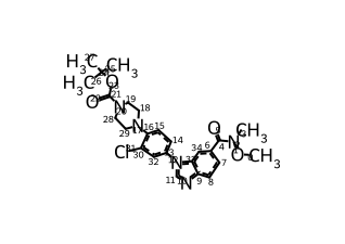 CON(C)C(=O)c1ccc2ncn(-c3ccc(N4CCN(C(=O)OC(C)(C)C)CC4)c(Cl)c3)c2c1